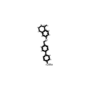 COc1ccc(-c2ccc(COc3ccc4c(c3)CCCC4C)cc2)cc1